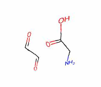 NCC(=O)O.O=CC=O